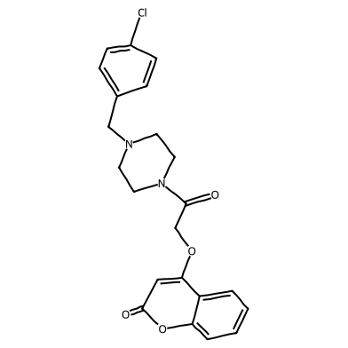 O=C(COc1cc(=O)oc2ccccc12)N1CCN(Cc2ccc(Cl)cc2)CC1